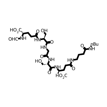 CCCCNC(=O)CCCNC(=O)CC[C@H](NC(=O)[C@H](CO)NC(=O)CNC(=O)[C@H](CO)NC(=O)CC[C@H](NC=O)C(=O)O)C(=O)O